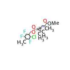 COC(=O)/C(C)=C/[C@@H]1[C@@H](C(=O)OCc2c(F)c(F)c(C)c(F)c2Cl)C1(C)C